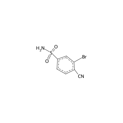 N#Cc1ccc(S(N)(=O)=O)cc1Br